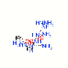 CC(C)C[C@H](N)C(=O)N[C@H](C(=O)N[C@@H](CCCCN)C(=O)NCC(=O)N[C@@H](CCCNC(=N)N)C(N)=O)C(C)C